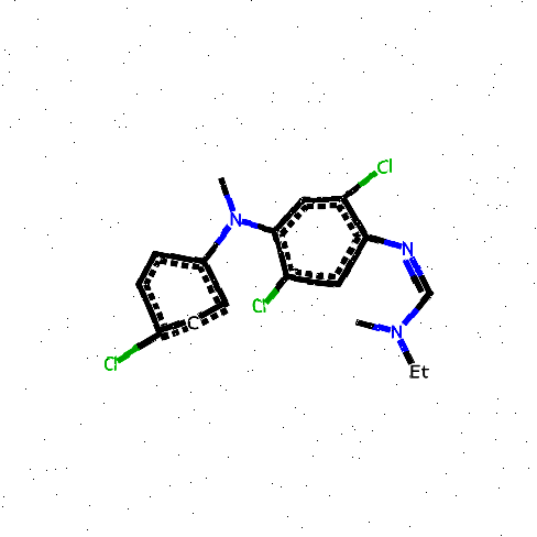 CCN(C)/C=N\c1cc(Cl)c(N(C)c2ccc(Cl)cc2)cc1Cl